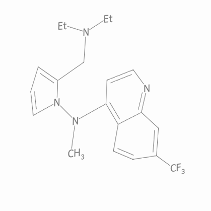 CCN(CC)Cc1cccn1N(C)c1ccnc2cc(C(F)(F)F)ccc12